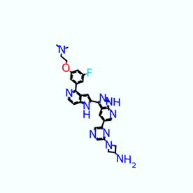 CN(C)CCOc1cc(F)cc(-c2nccc3[nH]c(-c4n[nH]c5ncc(-c6cncc(N7CC(N)C7)n6)cc45)cc23)c1